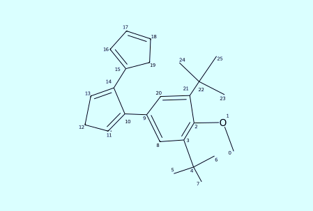 COc1c(C(C)(C)C)cc(C2=[C]CC=C2C2=CC=CC2)cc1C(C)(C)C